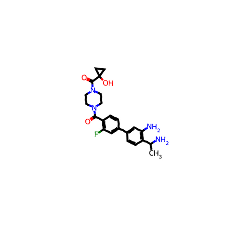 CC(N)c1ccc(-c2ccc(C(=O)N3CCN(C(=O)C4(O)CC4)CC3)c(F)c2)cc1N